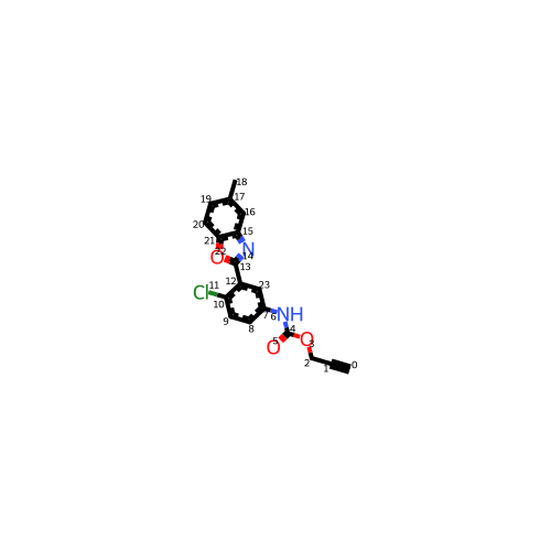 C#CCOC(=O)Nc1ccc(Cl)c(-c2nc3cc(C)ccc3o2)c1